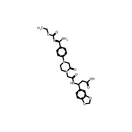 CCOC(=O)/N=C(\N)c1ccc(N2CCN(CC(=O)NC(CC(=O)O)c3ccc4c(c3)OCO4)C(=O)C2)cc1